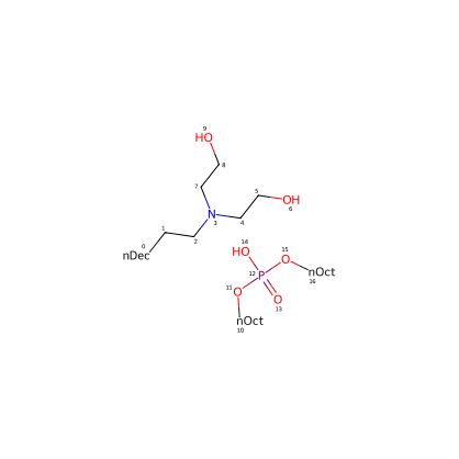 CCCCCCCCCCCCN(CCO)CCO.CCCCCCCCOP(=O)(O)OCCCCCCCC